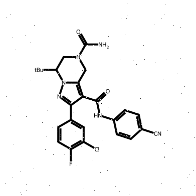 CC(C)(C)C1CN(C(N)=O)Cc2c(C(=O)Nc3ccc(C#N)cc3)c(-c3ccc(F)c(Cl)c3)nn21